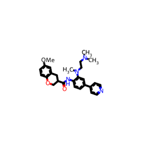 COc1ccc2c(c1)CC(C(=O)Nc1ccc(-c3ccncc3)cc1N(C)CCN(C)C)CO2